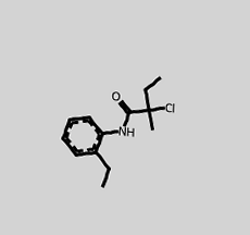 CCc1ccccc1NC(=O)C(C)(Cl)CC